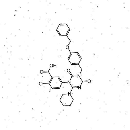 O=C(O)c1cc(-n2c(N3CCCCC3)nc(=O)n(Cc3ccc(OCc4ccccc4)cc3)c2=O)ccc1Cl